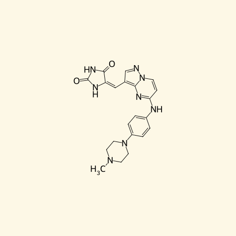 CN1CCN(c2ccc(Nc3ccn4ncc(/C=C5/NC(=O)NC5=O)c4n3)cc2)CC1